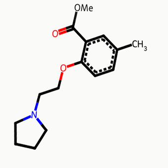 COC(=O)c1cc(C)ccc1OCCN1CCCC1